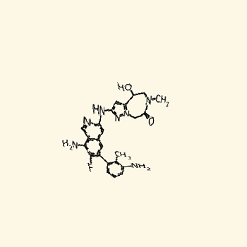 Cc1c(N)cccc1-c1cc2cc(Nc3cc4n(n3)CC(=O)N(C)CC4O)ncc2c(N)c1F